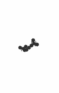 c1ccc(-c2cc(-c3ccccc3)c3c(ccc4ccc(-c5ccc(-c6ccc(-c7nc(-c8ccccc8)nc(-c8ccccc8)n7)cc6)cc5)cc43)n2)cc1